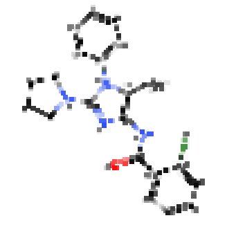 O=C(Nc1nc(N2CCCC2)n(-c2ccccc2)c1C(=O)O)c1ccccc1Cl